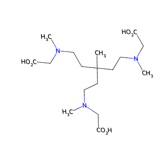 CN(CCC(C)(CCN(C)CC(=O)O)CCN(C)CC(=O)O)CC(=O)O